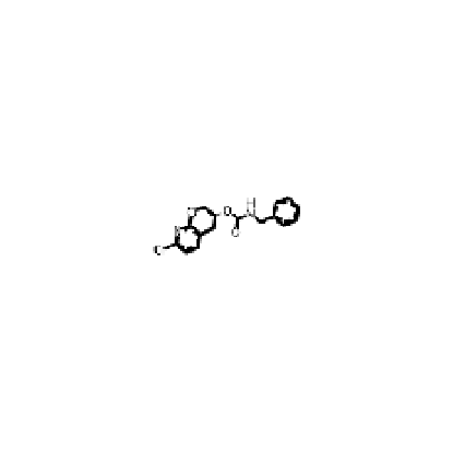 O=C(NCc1ccccc1)O[C@H]1COc2nc(Cl)ccc2C1